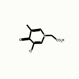 Cc1cn(CC(=O)O)cc(Cl)c1=O